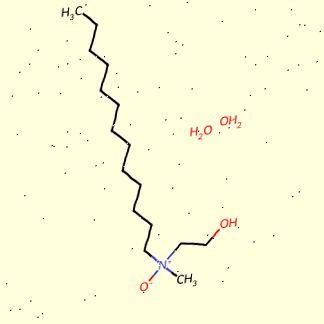 CCCCCCCCCCCCC[N+](C)([O-])CCO.O.O